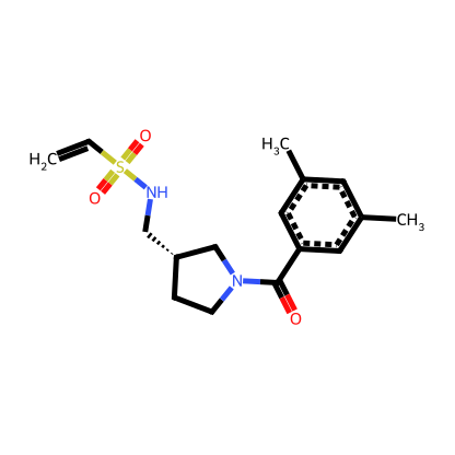 C=CS(=O)(=O)NC[C@H]1CCN(C(=O)c2cc(C)cc(C)c2)C1